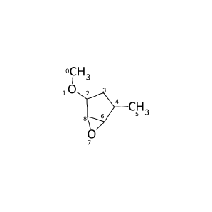 COC1CC(C)C2OC12